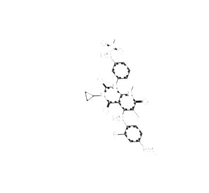 Bc1ccc(Nc2c(C)c(=O)n(C)c3c2c(=O)n(C2CC2)c(=O)n3-c2cccc(NS(C)(=O)=O)c2)c(F)c1